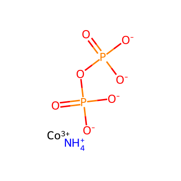 O=P([O-])([O-])OP(=O)([O-])[O-].[Co+3].[NH4+]